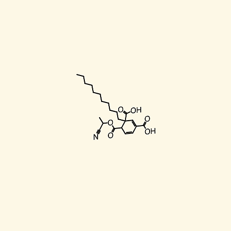 CCCCCCCCCCCC1(C(=O)O)C=C(C(=O)O)C=CC1C(=O)OC(C)C#N